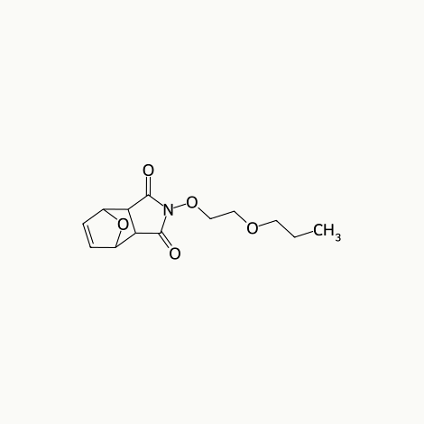 CCCOCCON1C(=O)C2C3C=CC(O3)C2C1=O